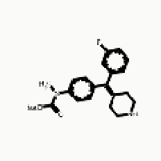 COC(=O)N(C)c1ccc(C(=C2CCNCC2)c2cccc(F)c2)cc1